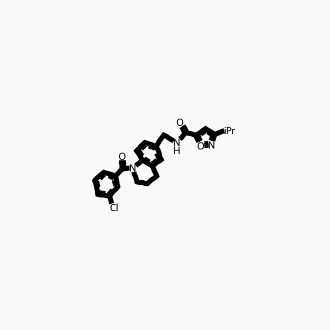 CC(C)c1cc(C(=O)NCc2ccc3c(c2)CCCN3C(=O)c2cccc(Cl)c2)on1